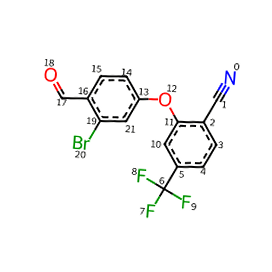 N#Cc1ccc(C(F)(F)F)cc1Oc1ccc(C=O)c(Br)c1